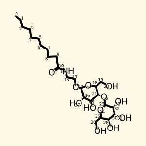 CCCCCCCCCCC(=O)NCCOC1OC(CO)[C@H](OC2OC(CO)[C@H](O)[C@@H](O)[C@H]2O)[C@@H](O)[C@H]1O